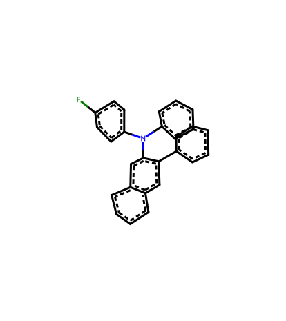 Fc1ccc(N(c2ccccc2)c2cc3ccccc3cc2-c2ccccc2)cc1